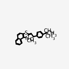 CN1/C(=C\C(=O)c2ccc(C(C)(C)C)cc2)Sc2ccc3ccccc3c21